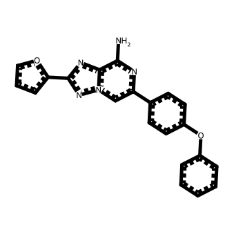 Nc1nc(-c2ccc(Oc3ccccc3)cc2)cn2nc(-c3ccco3)nc12